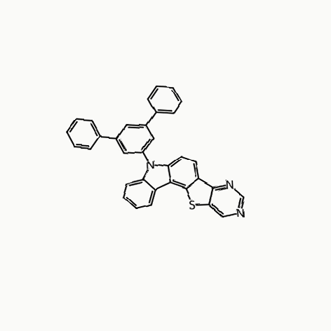 c1ccc(-c2cc(-c3ccccc3)cc(-n3c4ccccc4c4c5sc6cncnc6c5ccc43)c2)cc1